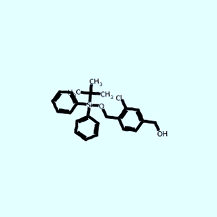 CC(C)(C)[Si](OCc1ccc(CO)cc1Cl)(c1ccccc1)c1ccccc1